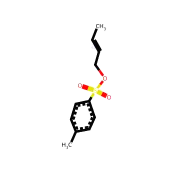 C/C=C/COS(=O)(=O)c1ccc(C)cc1